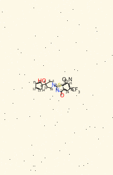 O=c1nc(N2CCC(O)(C3C=CC=CC3)CC2)sc2c([N+](=O)[O-])cc(C(F)(F)F)cc12